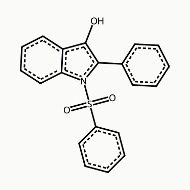 O=S(=O)(c1ccccc1)n1c(-c2ccccc2)c(O)c2ccccc21